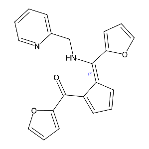 O=C(C1=CC=C/C1=C(/NCc1ccccn1)c1ccco1)c1ccco1